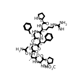 CCCC[C@H](NC(=O)[C@H](C)NC(=O)[C@H](CC(N)=O)NC(=O)[C@H](Cc1ccccc1)NC(=O)[C@H](Cc1ccccc1)NC(=O)[C@H](CCCNC(=N)N)NC(=O)[C@@H]1CCCN1)C(=O)N1CCC[C@@H]1C(=O)O